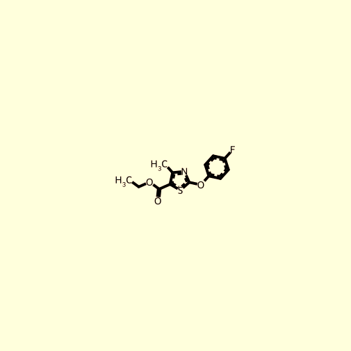 CCOC(=O)c1sc(Oc2ccc(F)cc2)nc1C